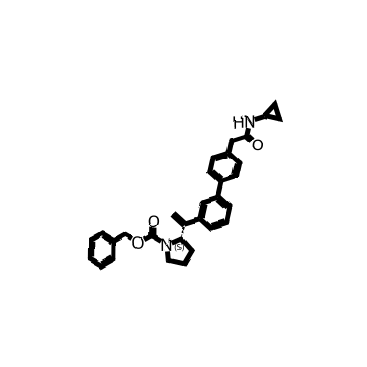 C=C(c1cccc(-c2ccc(CC(=O)NC3CC3)cc2)c1)[C@@H]1CCCN1C(=O)OCc1ccccc1